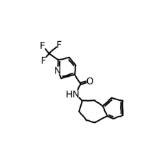 O=C(NC1CCCc2ccccc2C1)c1ccc(C(F)(F)F)nc1